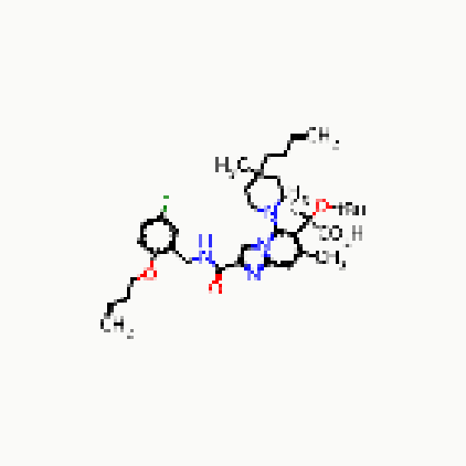 C=CCCOc1ccc(F)cc1CNC(=O)c1cn2c(N3CCC(C)(CCC=C)CC3)c([C@](C)(OC(C)(C)C)C(=O)O)c(C)cc2n1